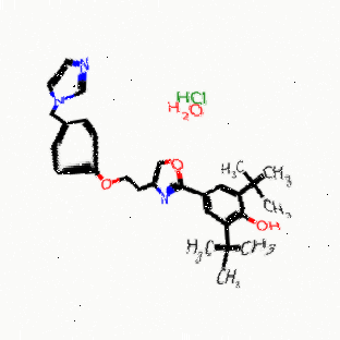 CC(C)(C)c1cc(-c2nc(CCOc3ccc(Cn4ccnc4)cc3)co2)cc(C(C)(C)C)c1O.Cl.O